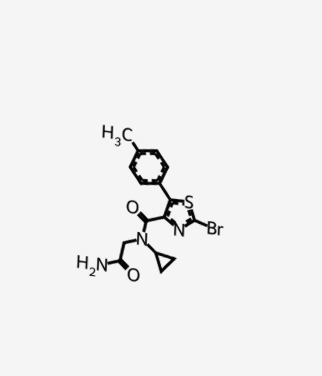 Cc1ccc(-c2sc(Br)nc2C(=O)N(CC(N)=O)C2CC2)cc1